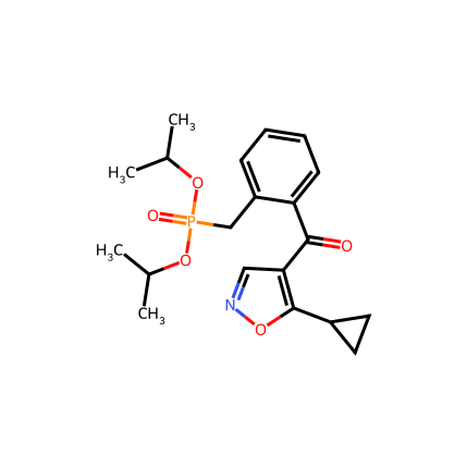 CC(C)OP(=O)(Cc1ccccc1C(=O)c1cnoc1C1CC1)OC(C)C